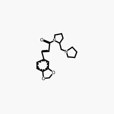 O=C(C=Cc1ccc2c(c1)OCO2)N1CCCC1CN1CCCC1